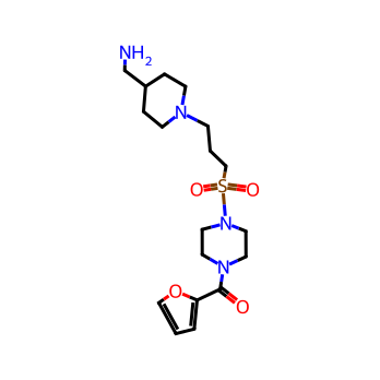 NCC1CCN(CCCS(=O)(=O)N2CCN(C(=O)c3ccco3)CC2)CC1